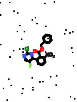 O=C(OCc1ccccc1)c1c(-c2nc(Cl)ncc2F)cccc1[N+](=O)[O-]